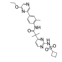 CCOc1cncc(-c2ccc(NC(=O)C(C)(C)c3ccnc(NS(=O)(=O)C4CCC4)n3)c(C)c2)n1